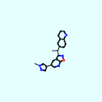 CC(c1ccc2ncccc2c1)c1noc2ncc(-c3cnn(C)c3)cc12